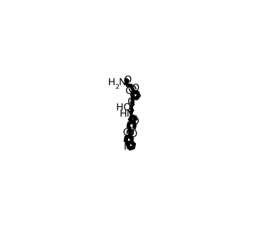 NC(=O)CCS(=O)(=O)c1cccc(OCC(O)CN[C@H]2COC3(CCN(S(=O)(=O)c4ccc5ncccc5c4)CC3)C2)c1